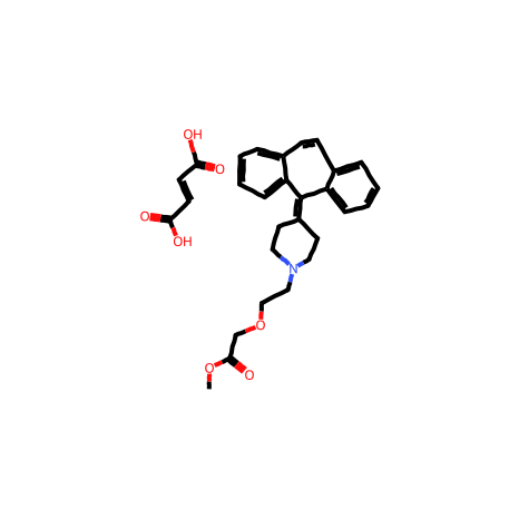 COC(=O)COCCN1CCC(=C2c3ccccc3C=Cc3ccccc32)CC1.O=C(O)C=CC(=O)O